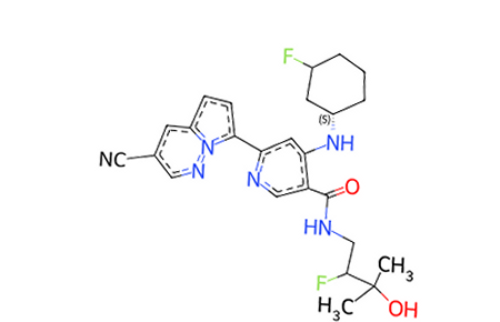 CC(C)(O)C(F)CNC(=O)c1cnc(-c2ccc3cc(C#N)cnn23)cc1N[C@H]1CCCC(F)C1